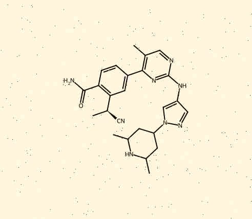 Cc1cnc(Nc2cnn(C3CC(C)NC(C)C3)c2)nc1-c1ccc(C(N)=O)c([C@H](C)C#N)c1